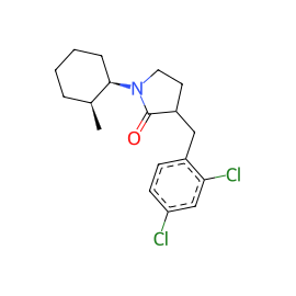 C[C@H]1CCCC[C@H]1N1CCC(Cc2ccc(Cl)cc2Cl)C1=O